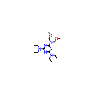 CCN(CC)c1nc(N(CC)CC)nc(N(COC)COC)n1